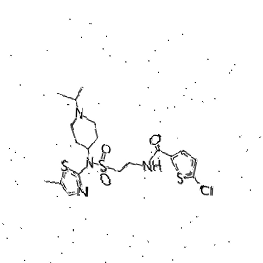 Cc1cnc(N(C2CCN(C(C)C)CC2)S(=O)(=O)CCNC(=O)c2ccc(Cl)s2)s1